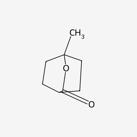 CC12CCC(CC1)C(=O)O2